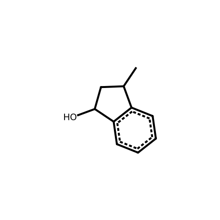 CC1CC(O)c2ccccc21